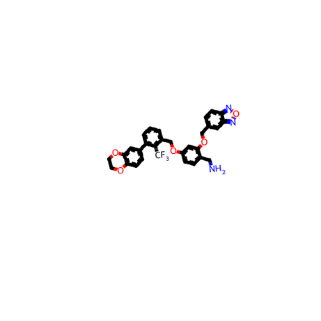 NCc1ccc(OCc2cccc(-c3ccc4c(c3)OCCO4)c2C(F)(F)F)cc1OCc1ccc2nonc2c1